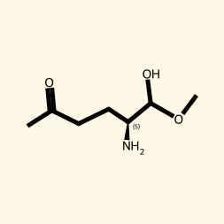 COC(O)[C@@H](N)CCC(C)=O